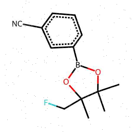 CC1(C)OB(c2cccc(C#N)c2)OC1(C)CF